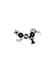 COc1cc2nc(C3CC3)nc(N3CCN(c4ccc(OC(F)(F)F)cc4OC)CC3)c2cc1OC